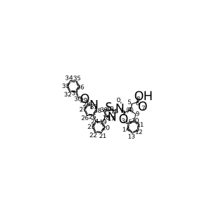 CN(C(=O)[C@@H](CC(=O)O)Cc1ccccc1)c1nc(-c2ccccc2-c2ccc(OCc3ccccc3)nc2)cs1